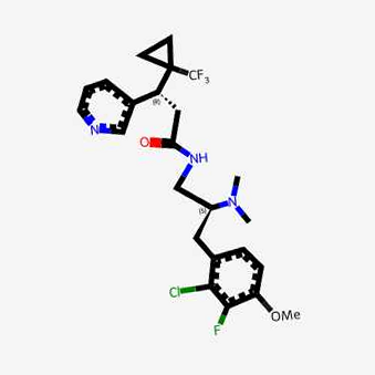 COc1ccc(C[C@@H](CNC(=O)C[C@H](c2cccnc2)C2(C(F)(F)F)CC2)N(C)C)c(Cl)c1F